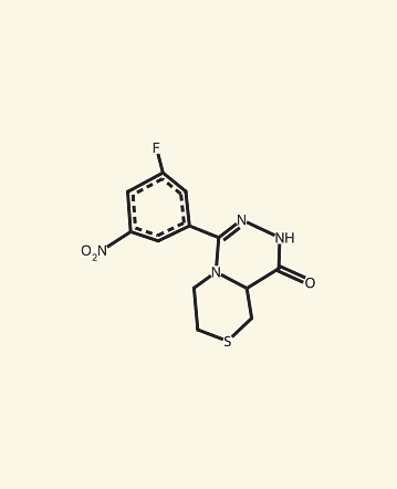 O=C1NN=C(c2cc(F)cc([N+](=O)[O-])c2)N2CCSCC12